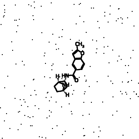 Cc1cc2cc(C(=O)N[C@@H]3C[C@H]4CC[C@@H]3N4)ccc2o1